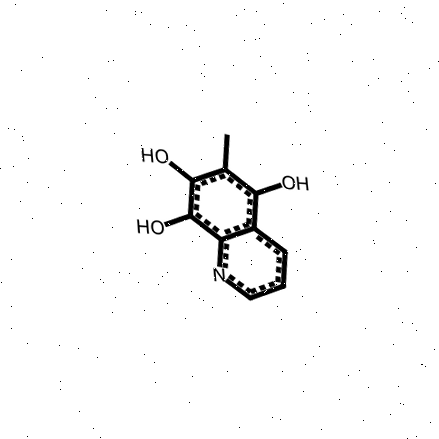 Cc1c(O)c(O)c2ncccc2c1O